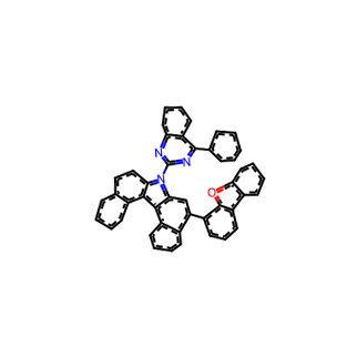 c1ccc(-c2nc(-n3c4ccc5ccccc5c4c4c5ccccc5c(-c5cccc6c5oc5ccccc56)cc43)nc3ccccc23)cc1